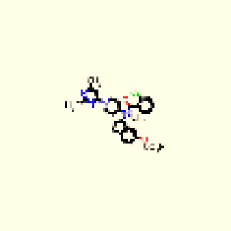 Cc1cc(N2CCC([N+](C)(C(=O)c3ccccc3Cl)[C@@H]3CCc4ccc(OC(=O)O)cc43)CC2)nc(C)n1